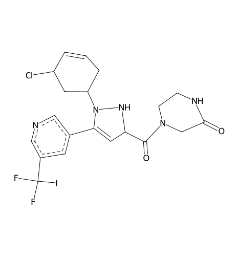 O=C1CN(C(=O)C2C=C(c3cncc(C(F)(F)I)c3)N(C3CC=CC(Cl)C3)N2)CCN1